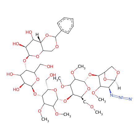 COC[C@@H]1O[C@@H](O[C@H]2C3CO[C@H](O3)[C@@H](N=[N+]=[N-])C2OC)C(OC)C(OC)[C@@H]1O[C@H]1O[C@@H](CO)[C@@H](O[C@@H]2OC(CO)[C@@H](O[C@@H]3OC4COC(c5ccccc5)O[C@H]4C(O)[C@@H]3O)C(O)[C@@H]2O)C(OC)C1OC